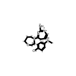 CNc1ccc(Cl)c([C@@H]2COCCCN2C2=NC(N)=NC#CC2)c1